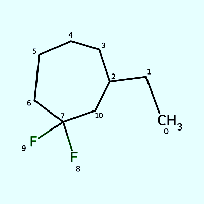 CCC1CCCCC(F)(F)C1